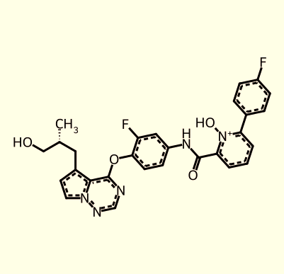 C[C@@H](CO)Cc1ccn2ncnc(Oc3ccc(NC(=O)c4cccc(-c5ccc(F)cc5)[n+]4O)cc3F)c12